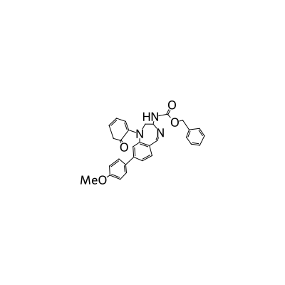 COc1ccc(-c2ccc3c(c2)N(C2=CC=CCC2=O)CC(NC(=O)OCc2ccccc2)N=C3)cc1